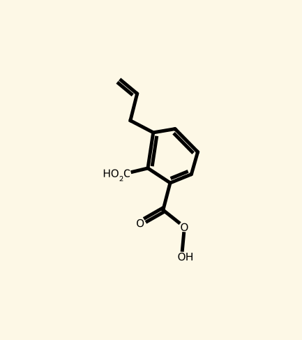 C=CCc1cccc(C(=O)OO)c1C(=O)O